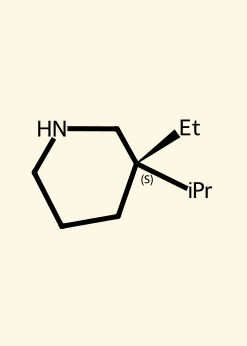 CC[C@@]1(C(C)C)CCCNC1